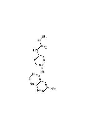 CC(C)(C)NC(=O)Nc1ccc(Oc2ncnc3ncc(Br)cc23)cc1